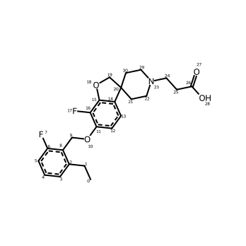 CCc1cccc(F)c1COc1ccc2c(c1F)OCC21CCN(CCC(=O)O)CC1